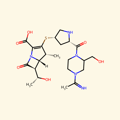 CC(=N)N1CCN(C(=O)[C@@H]2C[C@H](SC3=C(C(=O)O)N4C(=O)[C@H]([C@@H](C)O)[C@H]4[C@H]3C)CN2)C(CO)C1